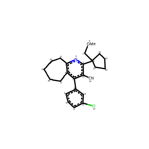 COCC1(c2nc3c(c(-c4cccc(Cl)c4)c2C#N)CCCCC3)CCCC1